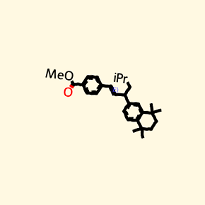 COC(=O)c1ccc(/C=C/C(CC(C)C)c2ccc3c(c2)C(C)(C)CCC3(C)C)cc1